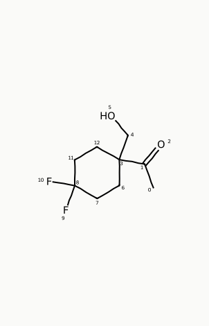 CC(=O)C1(CO)CCC(F)(F)CC1